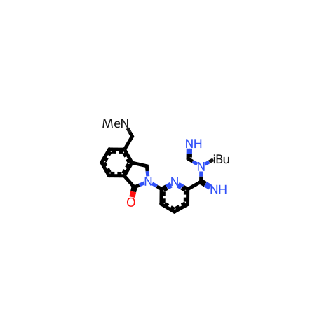 CCC(C)N(C=N)C(=N)c1cccc(N2Cc3c(CNC)cccc3C2=O)n1